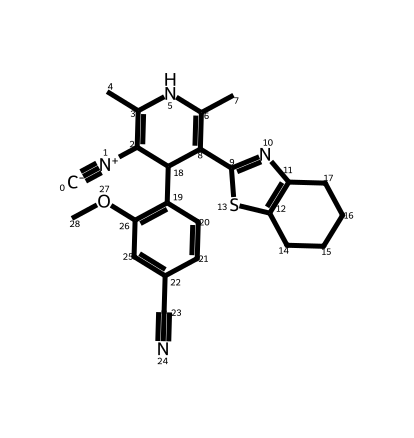 [C-]#[N+]C1=C(C)NC(C)=C(c2nc3c(s2)CCCC3)C1c1ccc(C#N)cc1OC